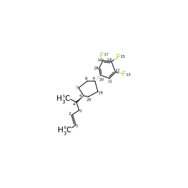 C/C=C/CC(C)[C@H]1CC[C@H](c2cc(F)c(F)c(F)c2)CC1